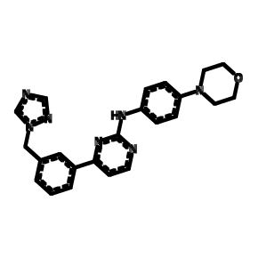 c1cc(Cn2cncn2)cc(-c2ccnc(Nc3ccc(N4CCOCC4)cc3)n2)c1